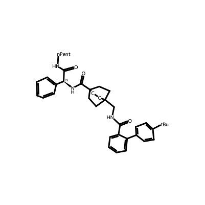 CCCCCNC(=O)[C@@H](NC(=O)C12CCC(CNC(=O)c3ccccc3-c3ccc(C(C)(C)C)cc3)(CC1)CC2)c1ccccc1